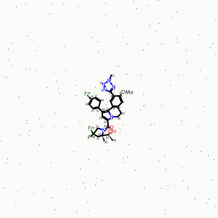 COc1cc2c(cc1-c1nnn(C)n1)-c1c(-c3ccc(F)cc3)cc(C(=O)N3CC(F)(F)C[C@@]3(C)[C@H](C)O)n1CC2